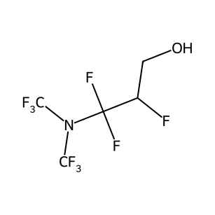 OCC(F)C(F)(F)N(C(F)(F)F)C(F)(F)F